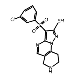 O=S(=O)(c1cccc(Cl)c1)c1c(S)nn2c3c(cnc12)CNCC3